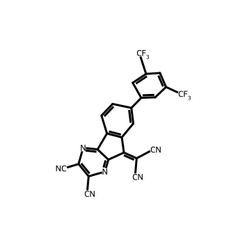 N#CC(C#N)=C1c2cc(-c3cc(C(F)(F)F)cc(C(F)(F)F)c3)ccc2-c2nc(C#N)c(C#N)nc21